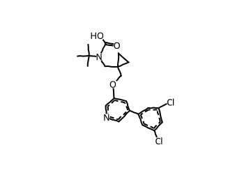 CC(C)(C)N(CC1(COc2cncc(-c3cc(Cl)cc(Cl)c3)c2)CC1)C(=O)O